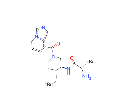 CC(C)(C)C[C@@H]1CCN(C(=O)c2cccn3cncc23)C[C@H]1NC(=O)[C@@H](N)C(C)(C)C